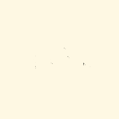 Nc1ccn(Cc2ccc(F)cn2)n1